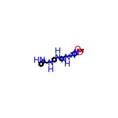 CC(C)(C)OC(=O)N1CCN(CCNCc2cc(Nc3ccc(NCCc4c[nH]c5ccccc45)cc3)ccn2)CC1